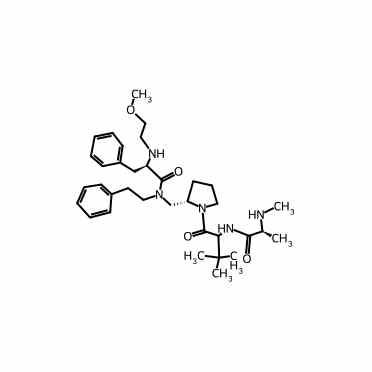 CN[C@@H](C)C(=O)N[C@H](C(=O)N1CCC[C@H]1CN(CCc1ccccc1)C(=O)[C@@H](Cc1ccccc1)NCCOC)C(C)(C)C